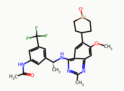 COc1cc2nc(C)nc(N[C@H](C)c3cc(NC(C)=O)cc(C(F)(F)F)c3)c2cc1C1CC[S+]([O-])CC1